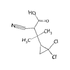 CC(C)(C(C#N)C(=O)O)C1CC1(Cl)Cl